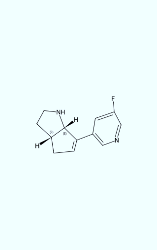 Fc1cncc(C2=CC[C@@H]3CCN[C@H]23)c1